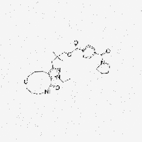 CCn1nc(CC(C)(C)COC(=O)c2ccc(C(=O)N3CCCC3)cc2)c2c1C(=O)NCCCOCCC2